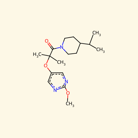 COc1ncc(OC(C)(C)C(=O)N2CCC(C(C)C)CC2)cn1